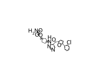 NS(=O)(=O)OC[C@@H]1CC[C@H](Nc2ncncc2C(=O)c2ccc(-c3ccccc3Cl)o2)C1